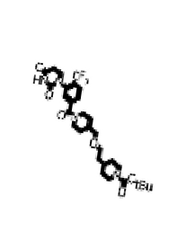 CC(C)(C)OC(=O)N1CCC(CCOCC2CCN(C(=O)c3ccc(C(F)(F)F)c(N4CCC(=O)NC4=O)c3)CC2)CC1